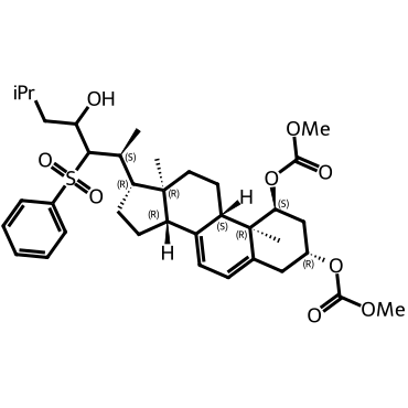 COC(=O)O[C@@H]1CC2=CC=C3[C@@H]4CC[C@H]([C@H](C)C(C(O)CC(C)C)S(=O)(=O)c5ccccc5)[C@@]4(C)CC[C@@H]3[C@@]2(C)[C@@H](OC(=O)OC)C1